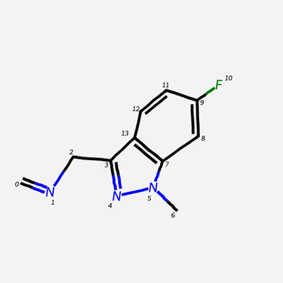 C=NCc1nn(C)c2cc(F)ccc12